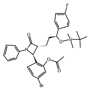 CC(=O)Oc1cc(Br)ccc1[C@@H]1[C@@H](CC[C@H](O[Si](C)(C)C(C)(C)C)c2ccc(F)cc2)C(=O)N1c1ccccc1